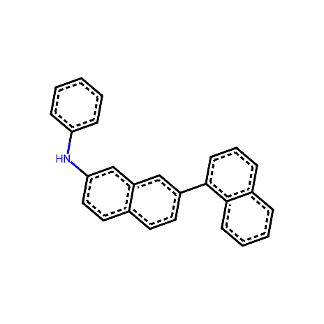 c1ccc(Nc2ccc3ccc(-c4cccc5ccccc45)cc3c2)cc1